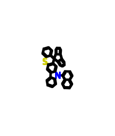 c1ccc2c(c1)Sc1cc3c4ccccc4n(-c4cccc5ccccc45)c3cc1C21c2ccccc2-c2ccccc21